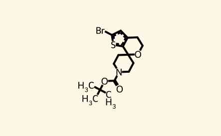 CC(C)(C)OC(=O)N1CCC2(CC1)OCCc1cc(Br)sc12